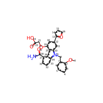 COc1ccccc1Cn1c2cc(-c3ccco3)cc(OCC(=O)O)c2c2c(C(N)=O)cccc21